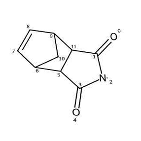 O=C1[N]C(=O)C2C3C=CC(C3)C12